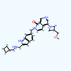 COCC1CN(c2cncc3c(=O)n(Cc4ccc5cc(CNCC6CCC6)[nH]c5c4)ccc23)C1